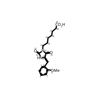 COc1ccccc1C=C1NC(=O)N(CCCCCCC(=O)O)C1=O